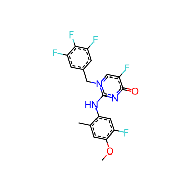 COc1cc(C)c(Nc2nc(=O)c(F)cn2Cc2cc(F)c(F)c(F)c2)cc1F